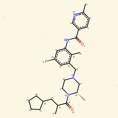 Cc1ccc(C(=O)Nc2cc(F)cc(CN3CCN(C(=O)C(C)CC4CCCC4)[C@@H](C)C3)c2C)cn1